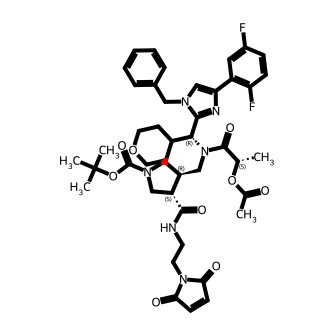 CC(=O)O[C@@H](C)C(=O)N(C[C@@H]1CN(C(=O)OC(C)(C)C)C[C@H]1C(=O)NCCN1C(=O)C=CC1=O)[C@@H](c1nc(-c2cc(F)ccc2F)cn1Cc1ccccc1)C1CCOCC1